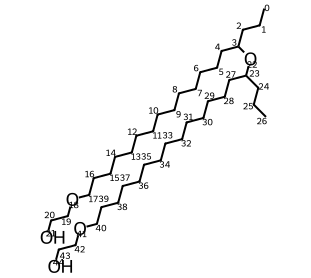 CCCC(CCCCCCCCCCCCCCOCCO)OC(CCC)CCCCCCCCCCCCCCOCCO